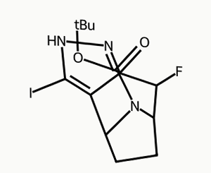 CC(C)(C)OC(=O)N1C2CCC1C(F)c1n[nH]c(I)c12